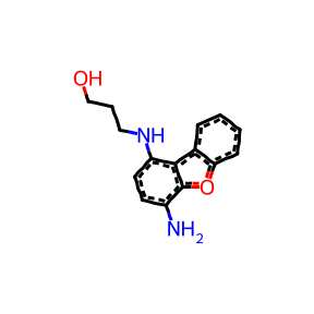 Nc1ccc(NCCCO)c2c1oc1ccccc12